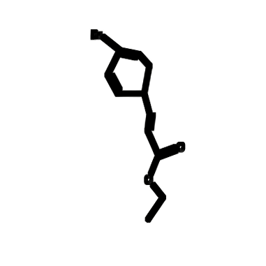 CCOC(=O)/C=C/C1C=CC(Br)=CC1